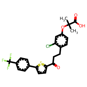 CC(C)(Oc1ccc(CCC(=O)c2ccc(-c3ccc(C(F)(F)F)cc3)s2)c(Cl)c1)C(=O)O